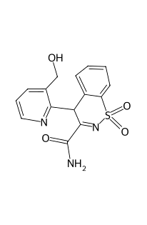 NC(=O)C1=NS(=O)(=O)c2ccccc2C1c1ncccc1CO